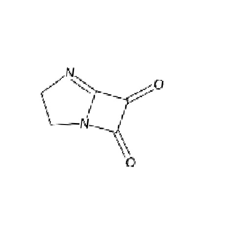 O=C1C(=O)N2CCN=C12